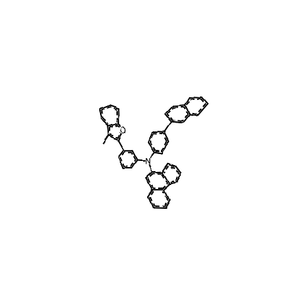 Cc1c(-c2cccc(N(c3ccc(-c4ccc5ccccc5c4)cc3)c3cc4ccccc4c4ccccc34)c2)oc2ccccc12